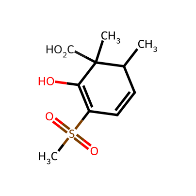 CC1C=CC(S(C)(=O)=O)=C(O)C1(C)C(=O)O